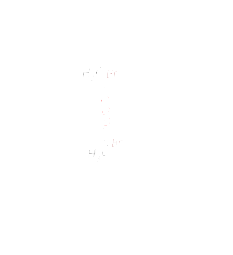 CC(Br)CCCOCOCOCCCC(C)Br